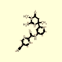 CN1C(=O)CC(C)(c2cc(NC(=O)c3ncc(C#N)cn3)ccn2)N=C1N